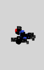 CC[C@@H]1CN(c2cc3c(N[C@H](C)c4cccc(C#N)c4C)nnc(CN(C)C)c3cn2)CCO1